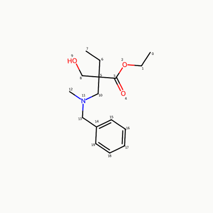 CCOC(=O)C(CC)(CO)CN(C)Cc1ccccc1